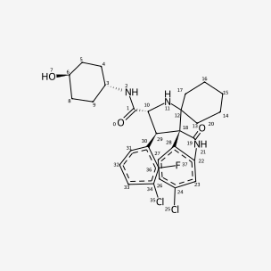 O=C(N[C@H]1CC[C@H](O)CC1)[C@@H]1NC2(CCCCC2)[C@]2(C(=O)Nc3cc(Cl)ccc32)[C@H]1c1cccc(Cl)c1F